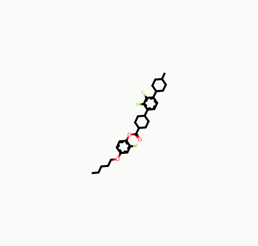 CCCCCOc1ccc(OC(=O)C2CCC(c3ccc(C4CCC(C)CC4)c(F)c3F)CC2)c(F)c1